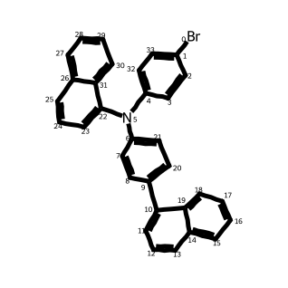 Brc1ccc(N(c2ccc(-c3cccc4ccccc34)cc2)c2cccc3ccccc23)cc1